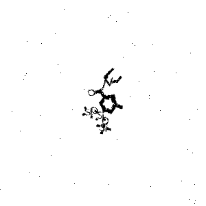 CCN(CC)C(=O)c1cc(C)cc([Si](C)(O[Si](C)(C)C)O[Si](C)(C)C)c1